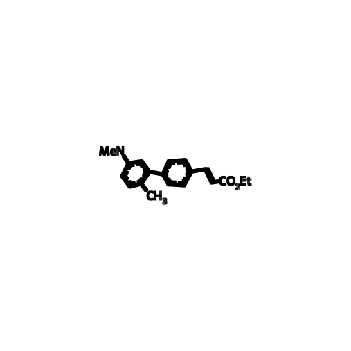 CCOC(=O)/C=C/c1ccc(-c2cc(NC)ccc2C)cc1